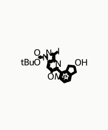 COc1cc2c(nc1-c1cccc3c1CC(O)C3)c(I)nn2C(=O)OC(C)(C)C